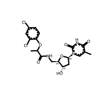 Cc1cn([C@H]2C[C@H](O)[C@@H](CNC(=O)C(C)Oc3ccc(Cl)cc3Cl)O2)c(=O)[nH]c1=O